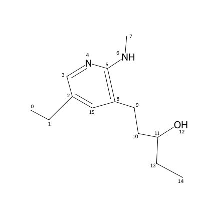 CCc1cnc(NC)c(CCC(O)CC)c1